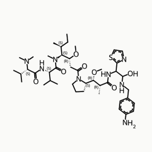 CC[C@H](C)[C@@H]([C@@H](CC(=O)N1CCC[C@H]1[C@H](OC)[C@@H](C)C(=O)NC(c1nccs1)C(O)NCc1ccc(N)cc1)OC)N(C)C(=O)[C@@H](NC(=O)[C@H](C(C)C)N(C)C)C(C)C